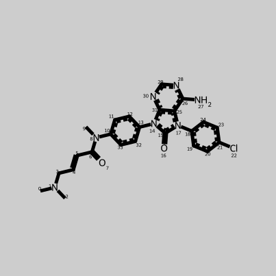 CN(C)CC=CC(=O)N(C)c1ccc(-n2c(=O)n(-c3ccc(Cl)cc3)c3c(N)ncnc32)cc1